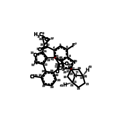 COC(=O)c1cc(F)c2nc(N3[C@@H]4CC[C@H]3C[C@H](OC(=O)Cc3c(-c5c(Cl)cccc5Cl)noc3C3CC3)C4)sc2c1